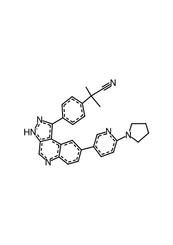 CC(C)(C#N)c1ccc(-c2n[nH]c3cnc4ccc(-c5ccc(N6CCCC6)nc5)cc4c23)cc1